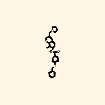 Cc1c(NC(=O)c2ccc(OCc3ccccc3)cc2)ccc2cc(CN3CCCC3)cnc12